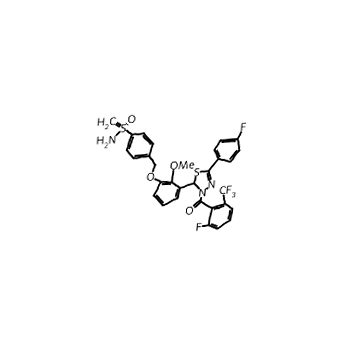 C=S(N)(=O)c1ccc(COc2cccc(C3SC(c4ccc(F)cc4)=NN3C(=O)c3c(F)cccc3C(F)(F)F)c2OC)cc1